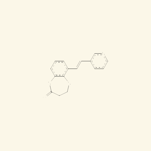 O=C1CCNc2c(/C=C/c3cccnc3)cccc2N1